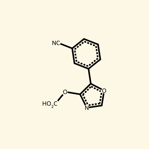 N#Cc1cccc(-c2ocnc2OC(=O)O)c1